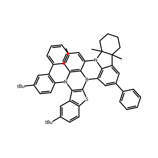 Cc1cc2c3c(c1)N1c4c(cc(-c5ccccc5)cc4C4(C)CCCCC14C)B3c1sc3ccc(C(C)(C)C)cc3c1N2c1ccc(C(C)(C)C)cc1-c1ccccc1